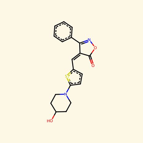 O=C1ON=C(c2ccccc2)C1=Cc1ccc(N2CCC(O)CC2)s1